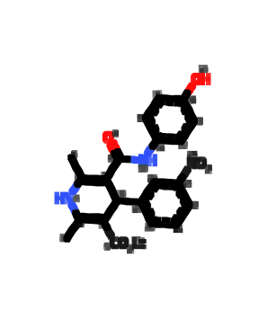 CCOC(=O)C1=C(C)NC(C)=C(C(=O)Nc2ccc(O)cc2)C1c1cccc([N+](=O)[O-])c1